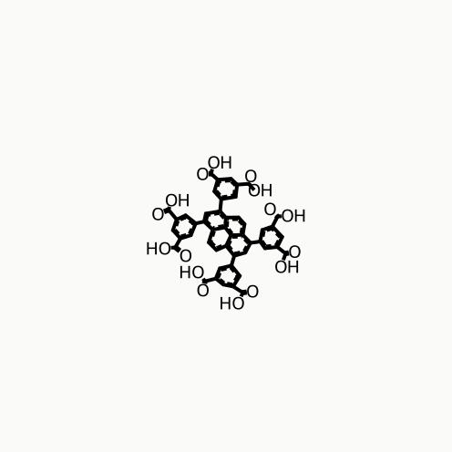 O=C(O)c1cc(C(=O)O)cc(-c2cc(-c3cc(C(=O)O)cc(C(=O)O)c3)c3ccc4c(-c5cc(C(=O)O)cc(C(=O)O)c5)cc(-c5cc(C(=O)O)cc(C(=O)O)c5)c5ccc2c3c54)c1